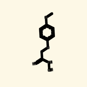 COc1ccc(OCC(=N)NO)cc1